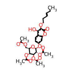 CCC=CCCOc1c(O)c2ccc(O[C@@H]3O[C@H](COC(C)=O)[C@H](OC(C)=O)[C@H](OC(C)=O)[C@H]3OC(C)=O)cc2oc1=O